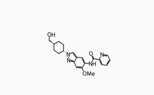 COc1cc2nn([C@H]3CC[C@H](CO)CC3)cc2cc1NC(=O)c1ccccn1